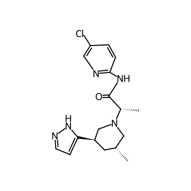 C[C@@H]1C[C@@H](c2ccn[nH]2)CN([C@@H](C)C(=O)Nc2ccc(Cl)cn2)C1